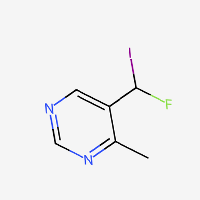 Cc1ncncc1C(F)I